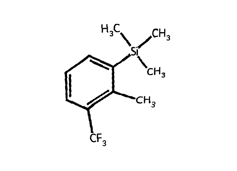 Cc1c(C(F)(F)F)cccc1[Si](C)(C)C